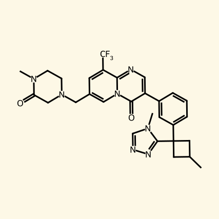 CC1CC(c2cccc(-c3cnc4c(C(F)(F)F)cc(CN5CCN(C)C(=O)C5)cn4c3=O)c2)(c2nncn2C)C1